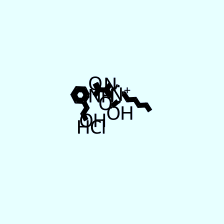 CCCCCC[N+]1(CC(=O)O)C=NC(C(=O)Nc2ccccc2CCO)=C1.Cl